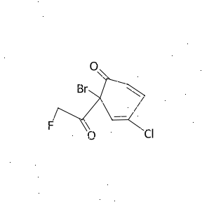 O=C1C=CC(Cl)=CC1(Br)C(=O)CF